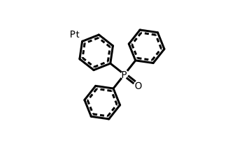 O=P(c1ccccc1)(c1ccccc1)c1ccccc1.[Pt]